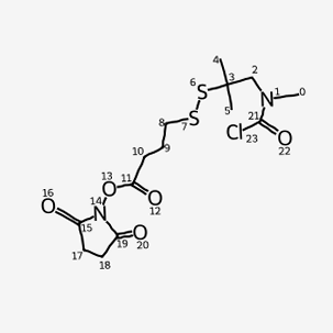 CN(CC(C)(C)SSCCCC(=O)ON1C(=O)CCC1=O)C(=O)Cl